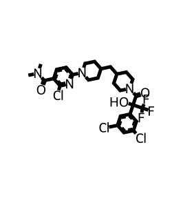 CN(C)C(=O)c1ccc(N2CCC(CC3CCN(C(=O)C(O)(c4cc(Cl)cc(Cl)c4)C(F)(F)F)CC3)CC2)nc1Cl